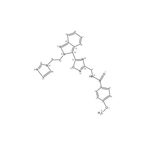 COc1ccc(C(=O)NCc2noc(-c3c4ccccc4nn3CCn3ccnc3)n2)cc1